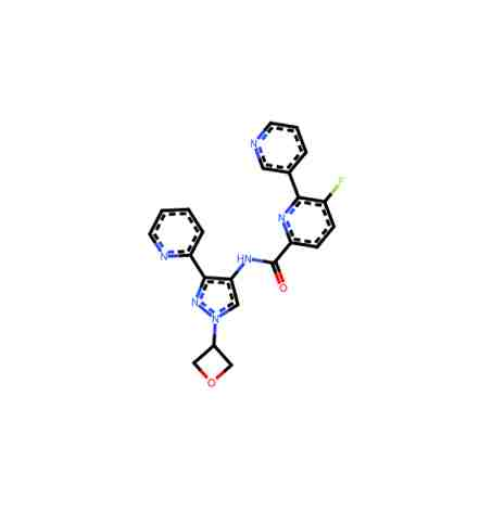 O=C(Nc1cn(C2COC2)nc1-c1ccccn1)c1ccc(F)c(-c2cccnc2)n1